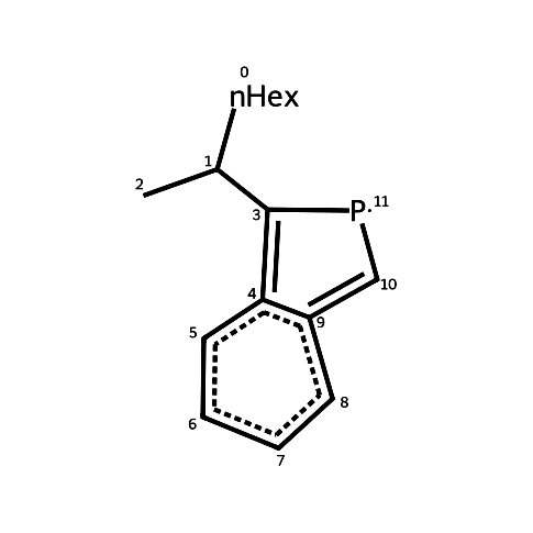 CCCCCCC(C)C1=c2ccccc2=C[P]1